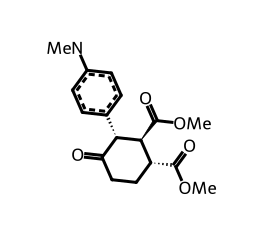 CNc1ccc([C@H]2C(=O)CC[C@@H](C(=O)OC)[C@@H]2C(=O)OC)cc1